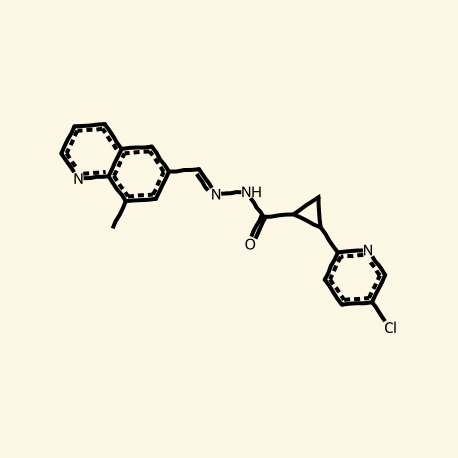 Cc1cc(C=NNC(=O)C2CC2c2ccc(Cl)cn2)cc2cccnc12